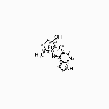 CCOC(=O)c1cnc2[nH]ccc2c1N[C@@H]1C[C@H](O)CC[C@H]1C